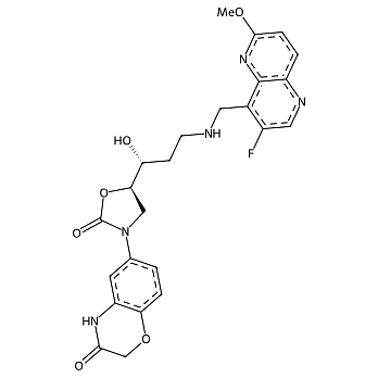 COc1ccc2ncc(F)c(CNCC[C@@H](O)[C@H]3CN(c4ccc5c(c4)NC(=O)CO5)C(=O)O3)c2n1